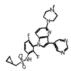 CN1CCN(c2ccc3c(n2)c(-c2cncnc2)cn3-c2c(F)ccc(NS(=O)(=O)CC3CC3)c2F)CC1